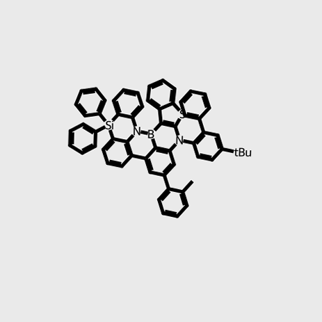 Cc1ccccc1-c1cc2c3c(c1)N(c1ccc(C(C)(C)C)cc1-c1ccccc1)c1sc4ccccc4c1B3N1c3ccccc3[Si](c3ccccc3)(c3ccccc3)c3cccc-2c31